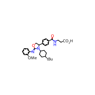 COc1ccccc1/N=C1\OCC(c2ccc(C(=O)NCCC(=O)O)cc2)N1C1CCC(C(C)(C)C)CC1